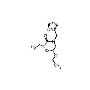 CCOC(=O)CN(Cc1ccco1)C(=O)OCC